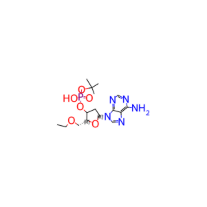 CCOC[C@H]1O[C@@H](n2cnc3c(N)ncnc32)CC1OP(=O)(O)OC(C)(C)C